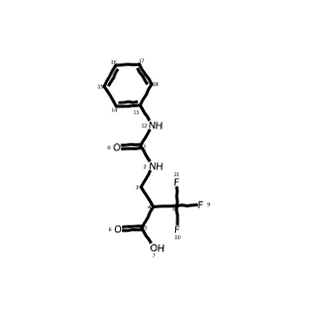 O=C(NCC(C(=O)O)C(F)(F)F)Nc1ccccc1